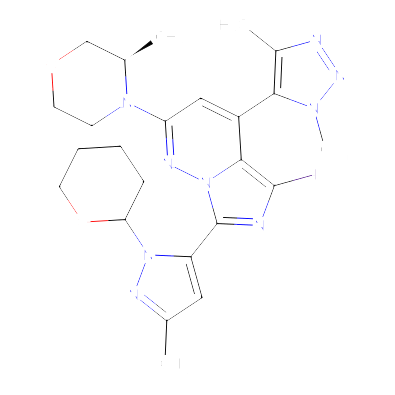 Cc1cc(-c2nc(I)c3c(-c4c(C)nnn4C)cc(N4CCOC[C@H]4C)nn23)n(C2CCCCO2)n1